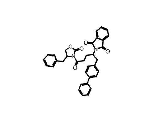 O=C(CCC(Cc1ccc(-c2ccccc2)cc1)N1C(=O)c2ccccc2C1=O)N1C(=O)OCC1Cc1ccccc1